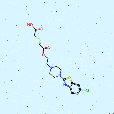 O=C(O)CSCC(=O)OCCN1CCN(c2nc3ccc(Cl)cc3s2)CC1